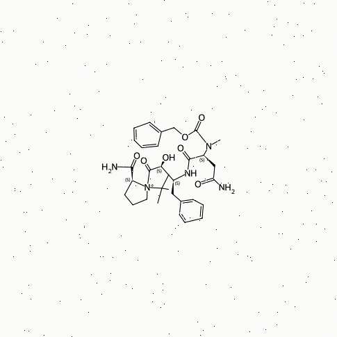 CN(C(=O)OCc1ccccc1)[C@@H](CC(N)=O)C(=O)N[C@@H](Cc1ccccc1)[C@H](O)C(=O)[N+]1(C(C)(C)C)CCC[C@H]1C(N)=O